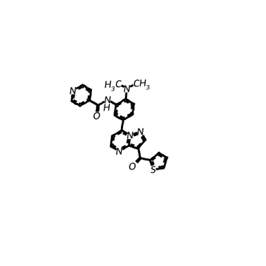 CN(C)c1ccc(-c2ccnc3c(C(=O)c4cccs4)cnn23)cc1NC(=O)c1ccncc1